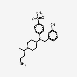 CC(CCN)N1CCC(N(Cc2cccc(C#N)c2)c2ccc(S(N)(=O)=O)cc2)CC1